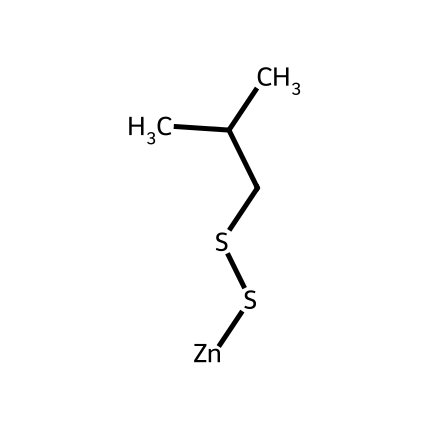 CC(C)CS[S][Zn]